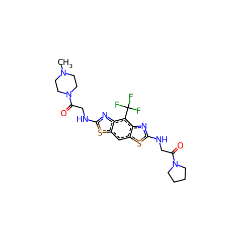 CN1CCN(C(=O)CNc2nc3c(C(F)(F)F)c4nc(NCC(=O)N5CCCC5)sc4cc3s2)CC1